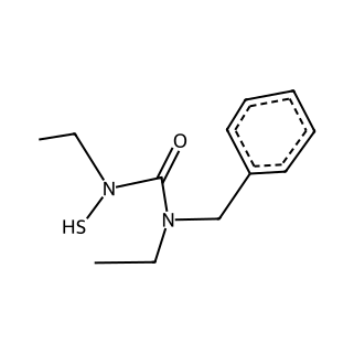 CCN(S)C(=O)N(CC)Cc1ccccc1